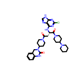 O=C(C[C@H](Nc1nc(Cl)nc2[nH]cnc12)C(=O)N1CCC(N2CCCCC2)CC1)N1CCC(N2Cc3ccccc3NC2=O)CC1